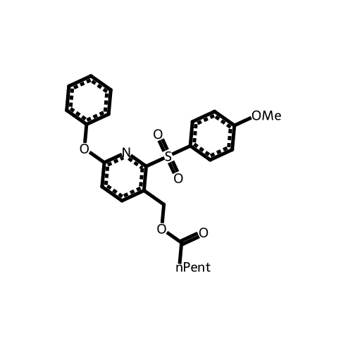 CCCCCC(=O)OCc1ccc(Oc2ccccc2)nc1S(=O)(=O)c1ccc(OC)cc1